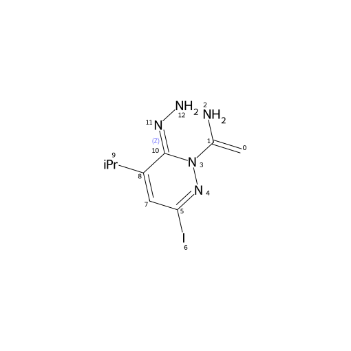 C=C(N)n1nc(I)cc(C(C)C)/c1=N/N